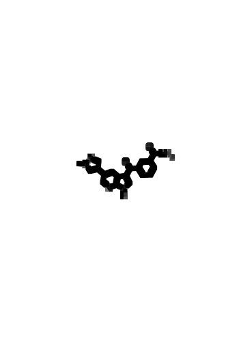 Cn1cc(-c2cnc3[nH]cc(C(=O)c4cccc(C(N)=O)c4)c3c2)cn1